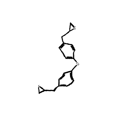 c1cc(Oc2ccc(CC3CS3)cc2)ccc1CC1CS1